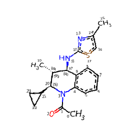 CC(=O)N1c2ccccc2[C@H](Nc2nc(C)cs2)[C@@H](C)[C@@H]1C1CC1